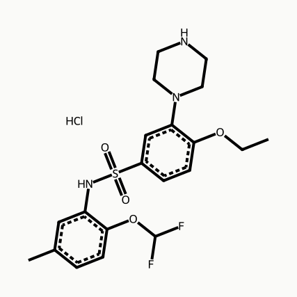 CCOc1ccc(S(=O)(=O)Nc2cc(C)ccc2OC(F)F)cc1N1CCNCC1.Cl